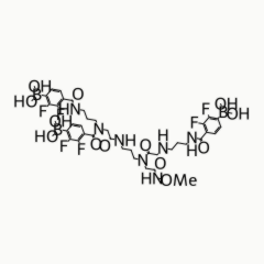 CONC(=O)CN(CCCNC(=O)CN(CCCNC(=O)c1ccc(B(O)O)c(F)c1F)C(=O)c1ccc(B(O)O)c(F)c1F)C(=O)CNCCCNC(=O)c1ccc(B(O)O)c(F)c1F